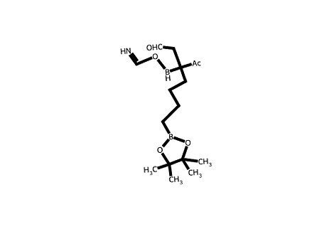 CC(=O)C(BOC=N)(CC=O)CCCCB1OC(C)(C)C(C)(C)O1